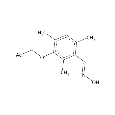 CC(=O)COc1c(C)cc(C)c(/C=N/O)c1C